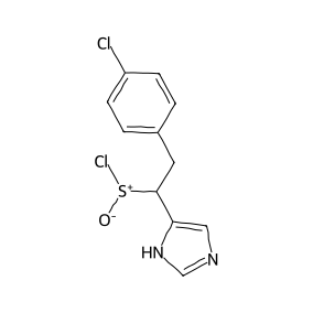 [O-][S+](Cl)C(Cc1ccc(Cl)cc1)c1cnc[nH]1